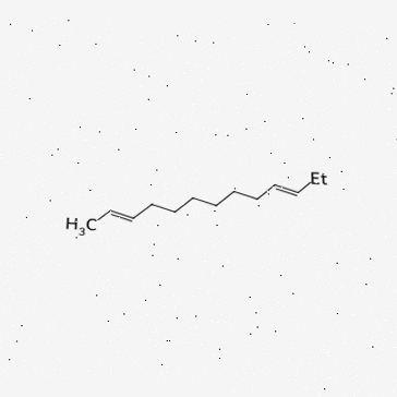 C/C=C/CCCCCC/C=C/CC